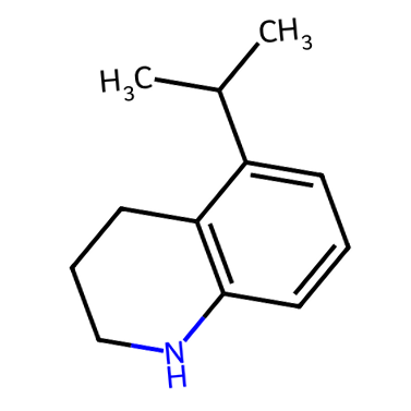 CC(C)c1cccc2c1CCCN2